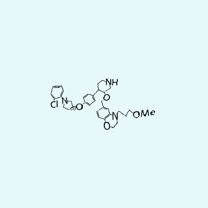 COCCCN1CCOc2ccc(COC3CNCCC3c3ccc(O[C@H]4CCN(c5ccccc5Cl)C4)cc3)cc21